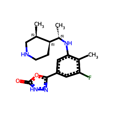 Cc1c(F)cc(-c2n[nH]c(=O)o2)cc1N[C@@H](C)[C@H]1CCNC[C@H]1C